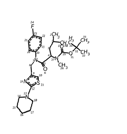 CC(C)CC(C(=O)N(Cc1csc(N2CCCCC2)n1)c1ccc(F)cc1)N(C)C(=O)OC(C)(C)C